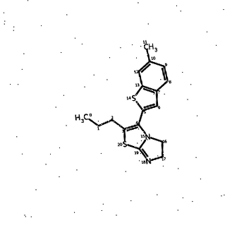 CCCC1=C(c2cc3ccc(C)cc3s2)N2CCN=C2S1